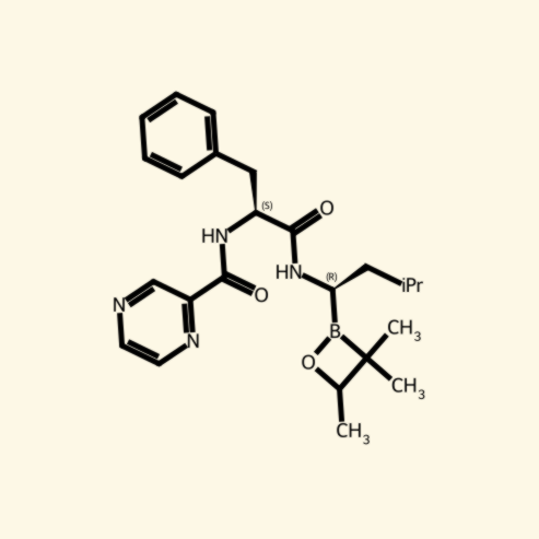 CC(C)C[C@H](NC(=O)[C@H](Cc1ccccc1)NC(=O)c1cnccn1)B1OC(C)C1(C)C